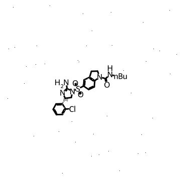 CCCCNC(=O)N1CCc2cc(S(=O)(=O)N3C[C@H](c4ccccc4Cl)N=C3N)ccc21